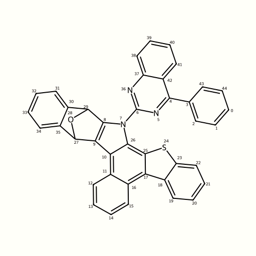 c1ccc(-c2nc(-n3c4c(c5c6ccccc6c6c7ccccc7sc6c53)C3OC4c4ccccc43)nc3ccccc23)cc1